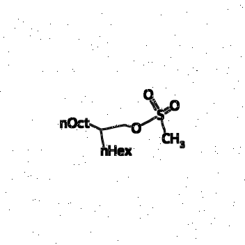 CCCCCCCCC(CCCCCC)COS(C)(=O)=O